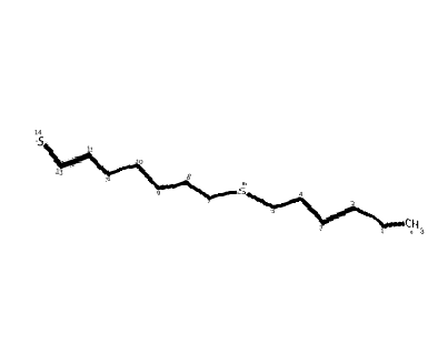 CCCCCCSCCCCCCC[S]